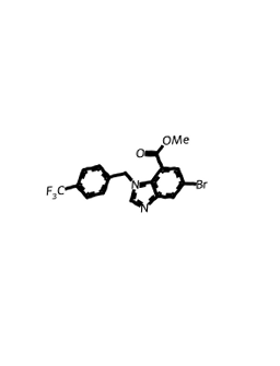 COC(=O)c1cc(Br)cc2ncn(Cc3ccc(C(F)(F)F)cc3)c12